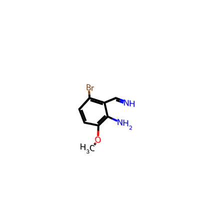 COc1ccc(Br)c(C=N)c1N